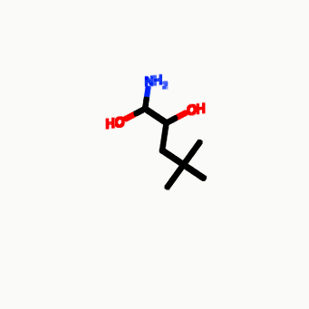 CC(C)(C)CC(O)C(N)O